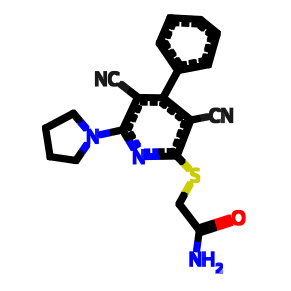 N#Cc1c(SCC(N)=O)nc(N2CCCC2)c(C#N)c1-c1ccccc1